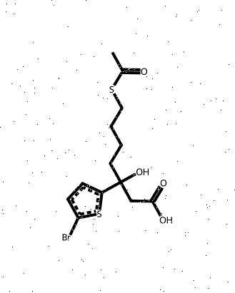 CC(=O)SCCCCC(O)(CC(=O)O)c1ccc(Br)s1